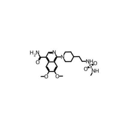 CNS(=O)(=O)NCCC1CCN(c2ncc(C(N)=O)c3cc(OC)c(OC)cc23)CC1